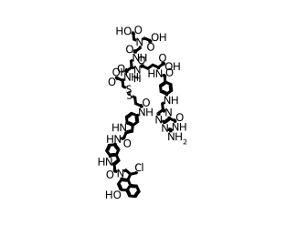 Nc1nc2ncc(CNc3ccc(C(=O)NC(CCC(=O)NC(CNC(=O)CN(CC(=O)O)CC(=O)O)C(=O)NC(CSSCCC(=O)Nc4ccc5[nH]c(C(=O)Nc6ccc7[nH]c(C(=O)N8CC(CCl)c9c8cc(O)c8ccccc98)cc7c6)cc5c4)C(=O)O)C(=O)O)cc3)nc2c(=O)[nH]1